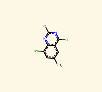 CCc1nc(Cl)c2cc(C)cc(Br)c2n1